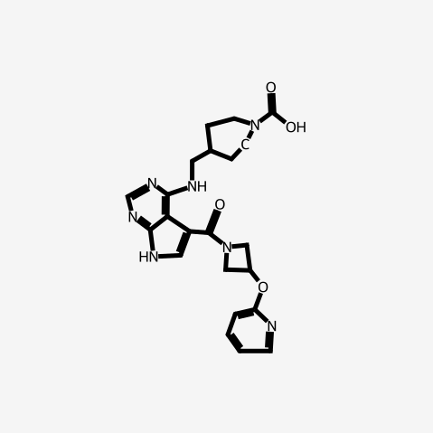 O=C(O)N1CCC(CNc2ncnc3[nH]cc(C(=O)N4CC(Oc5ccccn5)C4)c23)CC1